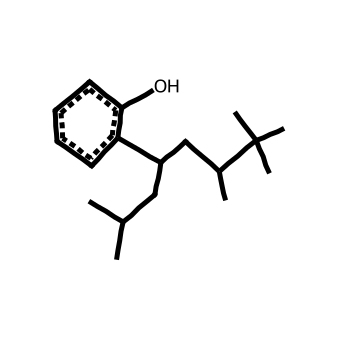 CC(C)CC(CC(C)C(C)(C)C)c1ccccc1O